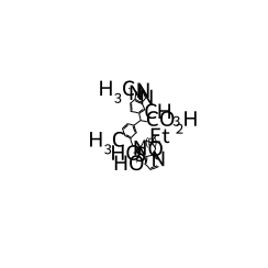 CC[C@@H]1CN(Cc2cc(C(CC(=O)O)c3ccc4c(nnn4C)c3C)ccc2C)S(O)(O)c2cccnc2O1